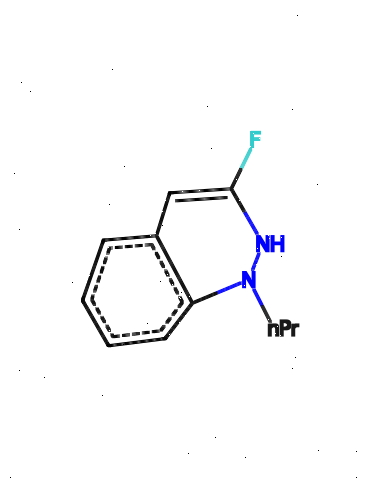 CCCN1NC(F)=Cc2ccccc21